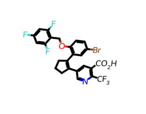 O=C(O)c1cc(C2=C(c3cc(Br)ccc3OCc3c(F)cc(F)cc3F)CCC2)cnc1C(F)(F)F